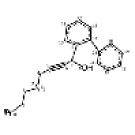 CC(C)CCNCC#CC(O)c1ccccc1-c1ccccc1